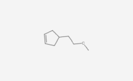 COCCC1CC=CC1